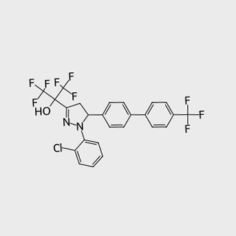 OC(C1=NN(c2ccccc2Cl)C(c2ccc(-c3ccc(C(F)(F)F)cc3)cc2)C1)(C(F)(F)F)C(F)(F)F